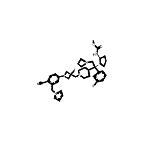 COC(=O)N[C@H]1CCC[C@@H]1C(CN1CCC1)(c1cccc(F)c1)C1CCN(CC2(F)CN(c3ccc(C#N)c(Cn4cccc4)c3)C2)CC1